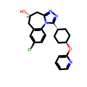 O[C@H]1Cc2cc(Cl)ccc2-n2c(nnc2[C@H]2CC[C@H](Oc3ccccn3)CC2)C1